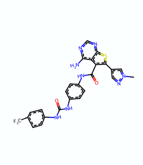 Cn1cc(-c2sc3ncnc(N)c3c2C(=O)Nc2ccc(NC(=O)Nc3ccc(C(F)(F)F)cc3)cc2)cn1